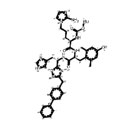 Cc1cc(O)cc(C)c1C[C@H](NC(=O)[C@@H](CCCn1ccnc1N)NC(=O)OC(C)(C)C)C(=O)N[C@@H](Cc1c[nH]cn1)c1nc(Cc2ccc(-c3ccccc3)cc2)no1